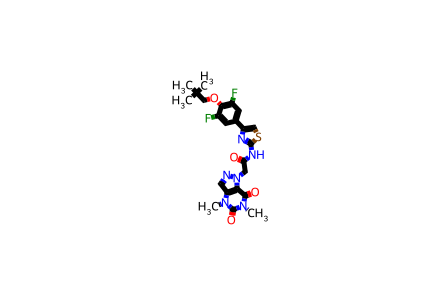 Cn1c(=O)c2c(cnn2CC(=O)Nc2nc(-c3cc(F)c(OCC(C)(C)C)c(F)c3)cs2)n(C)c1=O